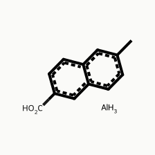 Cc1ccc2cc(C(=O)O)ccc2c1.[AlH3]